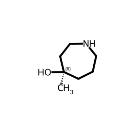 C[C@@]1(O)CCCNCC1